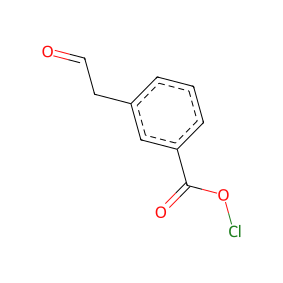 O=CCc1cccc(C(=O)OCl)c1